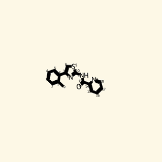 Cc1ccccc1-c1csc(NC(=O)c2ccccn2)n1